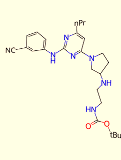 CCCc1cc(N2CCC(NCCNC(=O)OC(C)(C)C)C2)nc(Nc2cccc(C#N)c2)n1